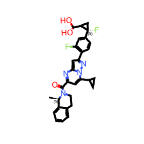 C[C@@H]1c2ccccc2CCN1C(=O)c1cc(C2CC2)n2nc(-c3ccc([C@]4(F)CC4C(O)O)cc3F)cc2n1